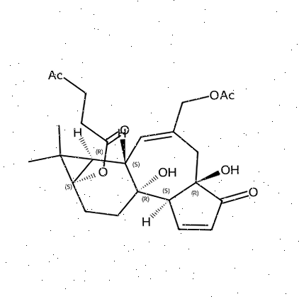 CC(=O)CCC(=O)O[C@@]12CC[C@@]3(O)[C@@H](C=C(COC(C)=O)C[C@]4(O)C(=O)C=C[C@@H]34)[C@@H]1C2(C)C